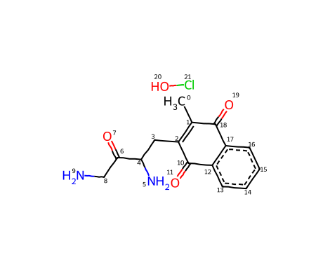 CC1=C(CC(N)C(=O)CN)C(=O)c2ccccc2C1=O.OCl